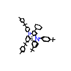 Cc1ccc(C(C)(C)c2ccc(N3c4ccc(C(C)(C)c5ccc(C)cc5)cc4B4c5cc(C(C)(C)C)ccc5N(c5ccc(C(C)(C)C)cc5)c5cc(C6CCCCC6)cc3c54)cc2)cc1